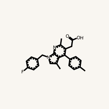 Cc1ccc(-c2c(CC(=O)O)c(C)nc3c2c(C)cn3Cc2ccc(F)cc2)cc1